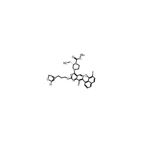 CC(C)(C)OC(=O)N1CCN(c2nc(OCCCN3C[C@H]4CC3CO4)nc3c(F)c(-c4cccc5ccc(F)c(Cl)c45)ncc23)C[C@@H]1CC#N